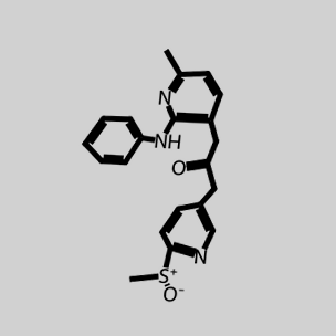 Cc1ccc(CC(=O)Cc2ccc([S+](C)[O-])nc2)c(Nc2ccccc2)n1